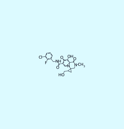 CN1CC2(CC2CO)n2cc(C(=O)NCc3cccc(Cl)c3F)c(=O)c(O)c2C1=O